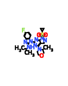 CC(C)Nc1nc2cc(F)ccc2n1-c1nc(N2CCOCC2C)c2cnn(S(=O)(=O)C3CC3)c2n1